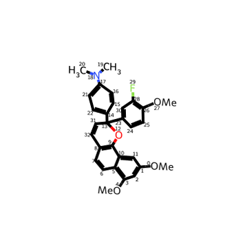 COc1cc(OC)c2ccc3c(c2c1)OC(c1ccc(N(C)C)cc1)(c1ccc(OC)c(F)c1)C=C3